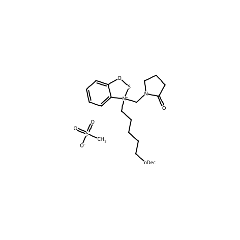 CCCCCCCCCCCCCCC[N+]1(CN2CCCC2=O)SOc2ccccc21.CS(=O)(=O)[O-]